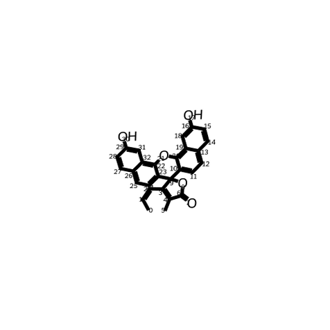 C/C=C\C1=C(C)C(=O)OC12c1ccc3ccc(O)cc3c1Oc1c2ccc2ccc(O)cc12